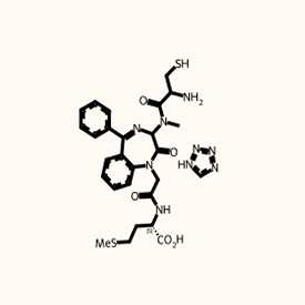 CSCC[C@H](NC(=O)CN1C(=O)C(N(C)C(=O)C(N)CS)N=C(c2ccccc2)c2ccccc21)C(=O)O.c1nnn[nH]1